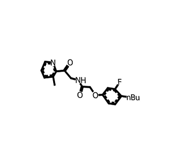 CCCCc1ccc(OCC(=O)NCC(=O)c2ncccc2C)cc1F